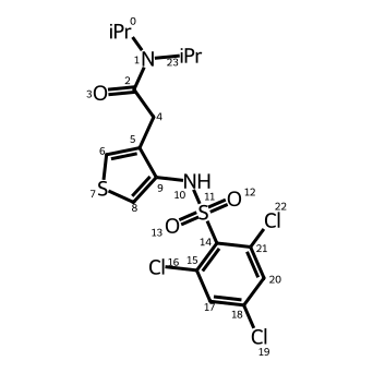 CC(C)N(C(=O)Cc1cscc1NS(=O)(=O)c1c(Cl)cc(Cl)cc1Cl)C(C)C